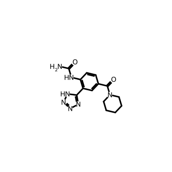 NC(=O)Nc1ccc(C(=O)N2CCCCC2)cc1-c1nnn[nH]1